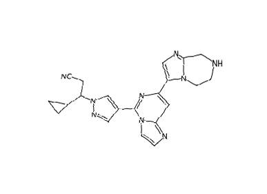 N#CCC(C1CC1)n1cc(-c2nc(-c3cnc4n3CCNC4)cc3nccn23)cn1